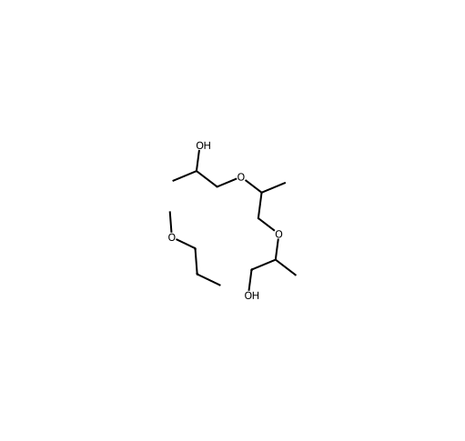 CC(O)COC(C)COC(C)CO.CCCOC